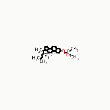 CCOC(COC1CCC2(C)C(=CCC3C2CCC2(C)C(C(C)CCCC(C)C)CCC32)C1)OCC